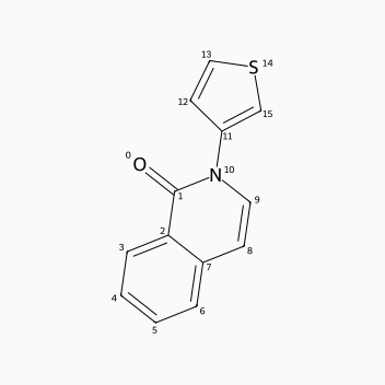 O=c1c2ccccc2ccn1-c1ccsc1